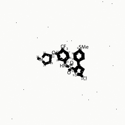 CSc1ccc(-c2cc(Cl)sc2S(=O)(=O)Nc2ccc(C(F)(F)F)c(O[C@@H]3CCN(C)C3)c2)cc1